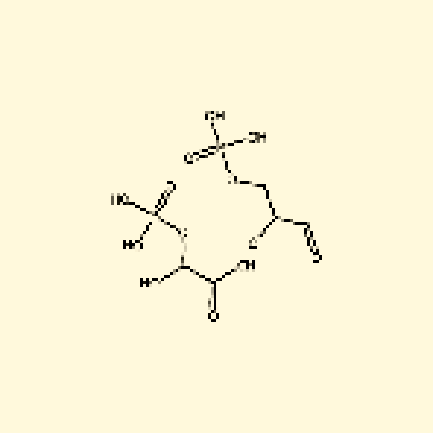 CC(=O)C(O)OP(=O)(O)O.O=CC(O)COP(=O)(O)O